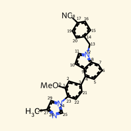 COc1cc(-c2cccc3c2ccn3Cc2ccc(C#N)cc2)ccc1-n1cnc(C)c1